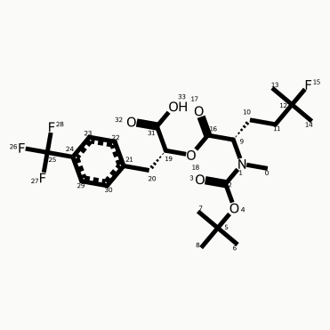 CN(C(=O)OC(C)(C)C)[C@@H](CCC(C)(C)F)C(=O)O[C@H](Cc1ccc(C(F)(F)F)cc1)C(=O)O